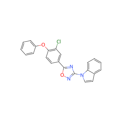 Clc1cc(-c2nc(-n3ccc4ccccc43)no2)ccc1Oc1ccccc1